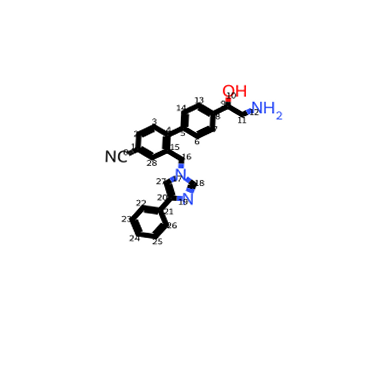 N#Cc1ccc(-c2ccc(C(O)CN)cc2)c(Cn2cnc(-c3ccccc3)c2)c1